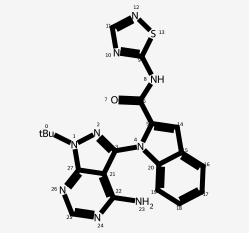 CC(C)(C)n1nc(-n2c(C(=O)Nc3ncns3)cc3ccccc32)c2c(N)ncnc21